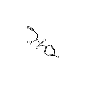 C#CCN(C)S(=O)(=O)c1ccc(F)cc1